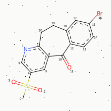 CS(=O)(=O)c1cnc2c(c1)C(=O)c1ccc(Br)cc1CC2